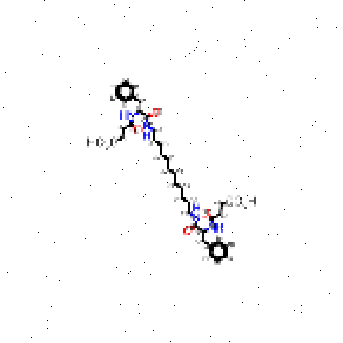 O=C(O)CCC(=O)N[C@@H](Cc1ccccc1)C(=O)NCCCCCCCCCCCCNC(=O)[C@H](Cc1ccccc1)NC(=O)CCC(=O)O